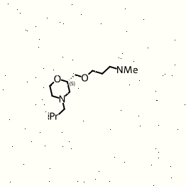 CNCCCOC[C@@H]1CN(CC(C)C)CCO1